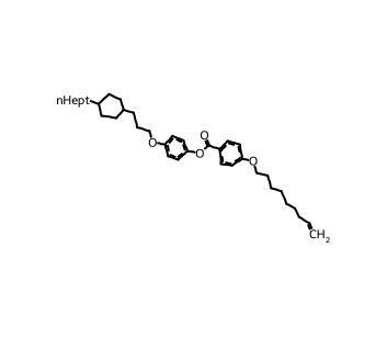 C=CCCCCCCCOc1ccc(C(=O)Oc2ccc(OCCCC3CCC(CCCCCCC)CC3)cc2)cc1